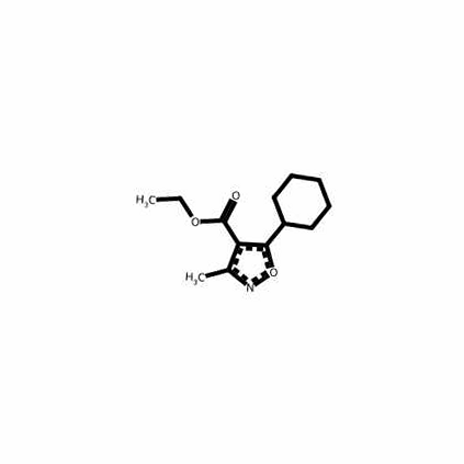 CCOC(=O)c1c(C)noc1C1CCCCC1